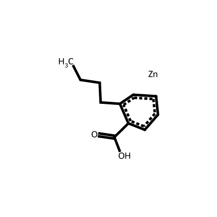 CCCCc1ccccc1C(=O)O.[Zn]